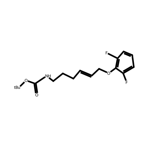 CC(C)(C)OC(=O)NCCC/C=C/COc1c(F)cccc1F